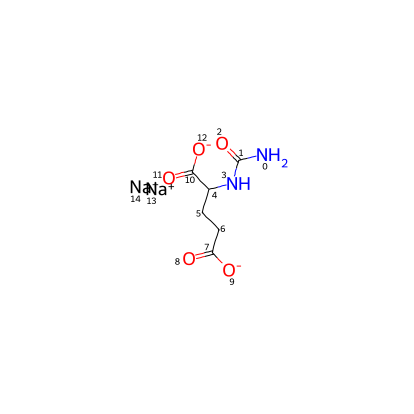 NC(=O)NC(CCC(=O)[O-])C(=O)[O-].[Na+].[Na+]